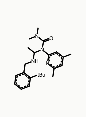 Cc1cc(C)nc(N(C(=O)N(C)C)C(C)NCc2ccccc2C(C)(C)C)c1